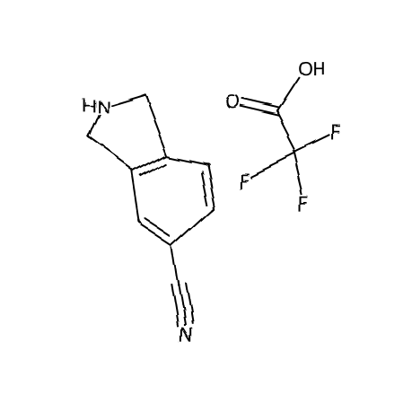 N#Cc1ccc2c(c1)CNC2.O=C(O)C(F)(F)F